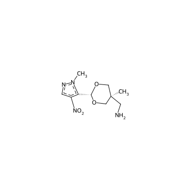 Cn1ncc([N+](=O)[O-])c1[C@H]1OC[C@](C)(CN)CO1